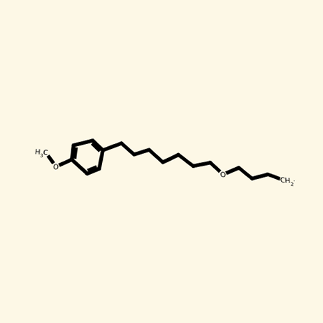 [CH2]CCCOCCCCCCCc1ccc(OC)cc1